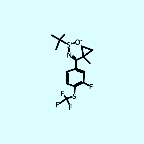 CC1(C(=N[S+]([O-])C(C)(C)C)c2ccc(SC(F)(F)F)c(F)c2)CC1